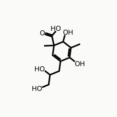 CC1=C(O)C(CC(O)CO)=CC(C)(C(=O)O)C1O